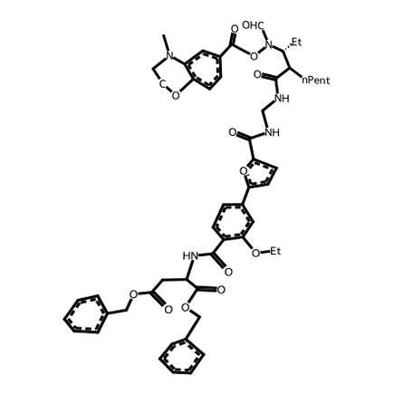 CCCCCC(C(=O)NCNC(=O)c1ccc(-c2ccc(C(=O)NC(CC(=O)OCc3ccccc3)C(=O)OCc3ccccc3)c(OCC)c2)o1)[C@@H](CC)N(C=O)OC(=O)c1ccc2c(c1)N(C)CCO2